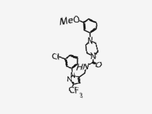 COc1cccc(N2CCN(C(=O)NCc3cc(C(F)(F)F)nn3-c3cccc(Cl)c3)CC2)c1